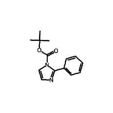 CC(C)(C)OC(=O)n1ccnc1-c1ccccc1